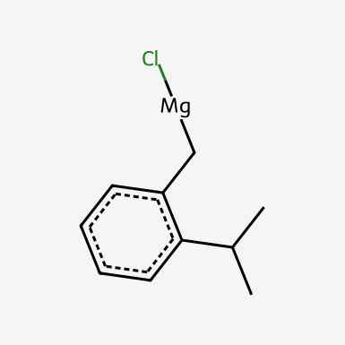 CC(C)c1ccccc1[CH2][Mg][Cl]